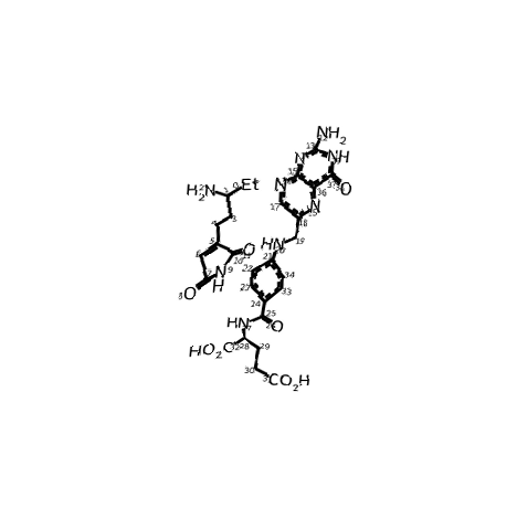 CCC(N)CCC1=CC(=O)NC1=O.Nc1nc2ncc(CNc3ccc(C(=O)NC(CCC(=O)O)C(=O)O)cc3)nc2c(=O)[nH]1